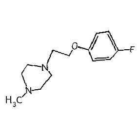 CN1CCN(CCOc2ccc(F)cc2)CC1